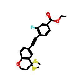 CCOC(=O)c1ccc(C#Cc2ccc3c(c2)C(SC)(SC)CCO3)c(F)c1